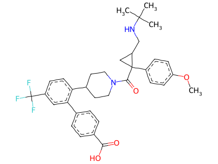 COc1ccc(C2(C(=O)N3CCC(c4ccc(C(F)(F)F)cc4-c4ccc(C(=O)O)cc4)CC3)CC2CNC(C)(C)C)cc1